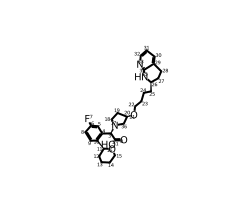 O=C(O)[C@@H](c1cc(F)ccc1[C@@H]1CCCCO1)N1CC[C@@H](OCCCC[C@@H]2CCc3cccnc3N2)C1